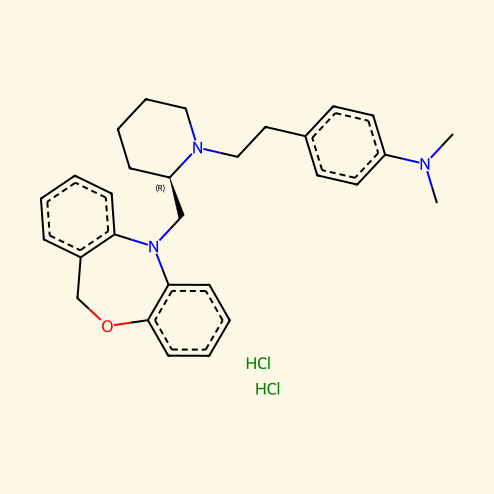 CN(C)c1ccc(CCN2CCCC[C@@H]2CN2c3ccccc3COc3ccccc32)cc1.Cl.Cl